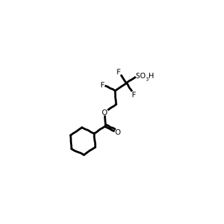 O=C(OCC(F)C(F)(F)S(=O)(=O)O)C1CCCCC1